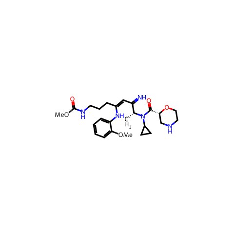 COC(=O)NCCC/C(=C/C(=N)[C@@H](C)N(C(=O)[C@H]1CNCCO1)C1CC1)Nc1ccccc1OC